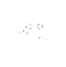 C=CC12OC[C@@H](O)[C@H]1OC[C@H]2Oc1cc(Cl)ccc1Nc1ncnc2cc(N=S(C)(C)=O)cc(F)c12